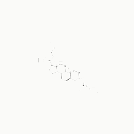 CC(C)CCCC(C)C1CCC2C3CC=C4CC(OC(N)=O)CCC4(C)C3CCC12C